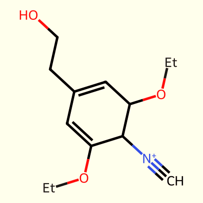 C#[N+]C1C(OCC)=CC(CCO)=CC1OCC